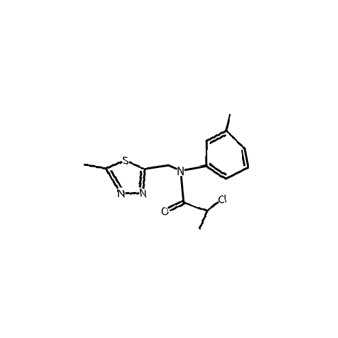 Cc1cccc(N(Cc2nnc(C)s2)C(=O)C(C)Cl)c1